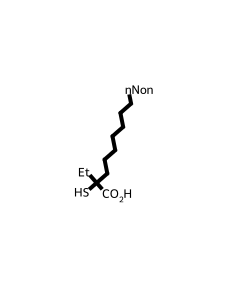 CCCCCCCCCCCCCCCCC(S)(CC)C(=O)O